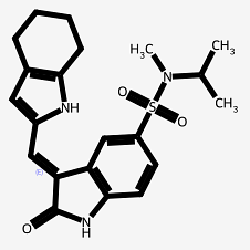 CC(C)N(C)S(=O)(=O)c1ccc2c(c1)/C(=C\c1cc3c([nH]1)CCCC3)C(=O)N2